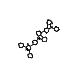 c1ccc(-c2cc(-c3ccc(-n4c5ccccc5c5c(-c6ccc7c(c6)c6cccnc6n7-c6ccccc6)cccc54)cc3)nc(-c3ccccc3)n2)cc1